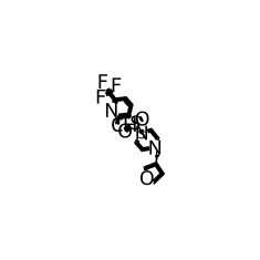 Cc1nc(C(F)(F)F)ccc1S(=O)(=O)N1CCN(C[C@H]2CCOC2)CC1